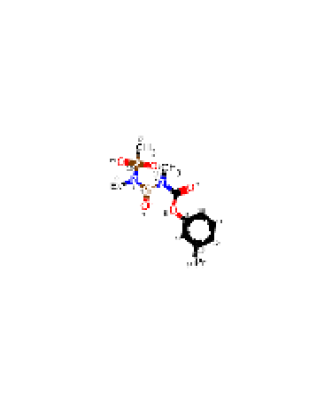 CCN([S+]([O-])N(C)C(=O)Oc1cccc(C(C)C)c1)S(C)(=O)=O